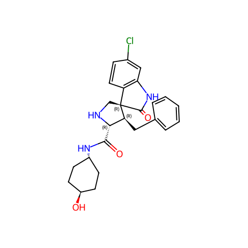 O=C(N[C@H]1CC[C@H](O)CC1)[C@@H]1NC[C@@]2(C(=O)Nc3cc(Cl)ccc32)[C@H]1Cc1ccccc1